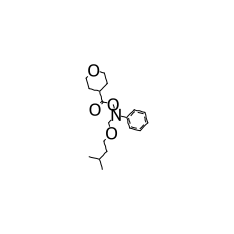 CC(C)CCOCN(OC(=O)C1CCOCC1)c1ccccc1